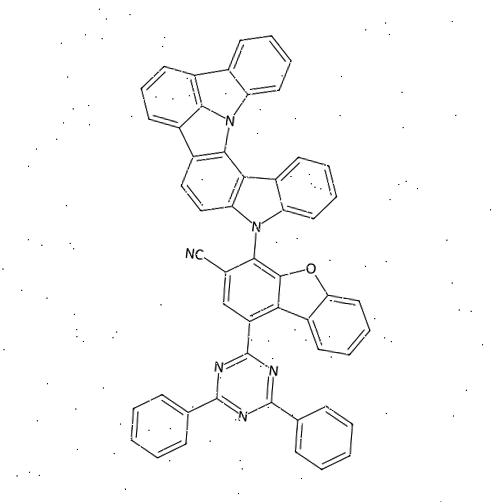 N#Cc1cc(-c2nc(-c3ccccc3)nc(-c3ccccc3)n2)c2c(oc3ccccc32)c1-n1c2ccccc2c2c1ccc1c3cccc4c5ccccc5n(c43)c12